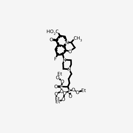 CCOOP(=O)(OOCC)C(CCCN1CCN(c2c(F)cc3c(=O)c(C(=O)O)cn4c3c2OCC4C)CC1)P(=O)(OOCC)OOCC